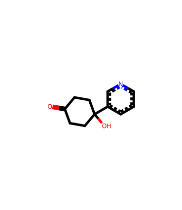 O=C1CCC(O)(c2cccnc2)CC1